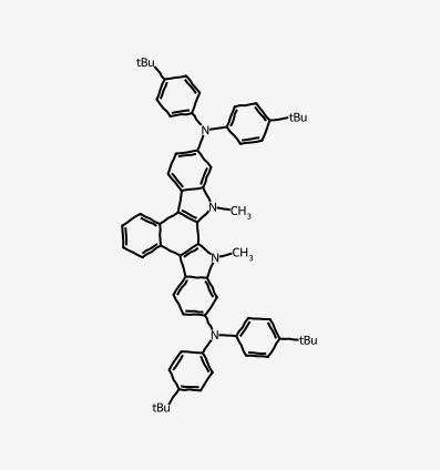 Cn1c2cc(N(c3ccc(C(C)(C)C)cc3)c3ccc(C(C)(C)C)cc3)ccc2c2c3ccccc3c3c4ccc(N(c5ccc(C(C)(C)C)cc5)c5ccc(C(C)(C)C)cc5)cc4n(C)c3c21